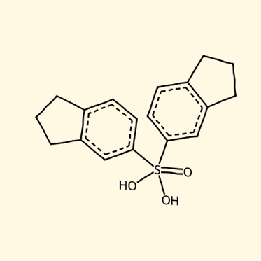 O=S(O)(O)(c1ccc2c(c1)CCC2)c1ccc2c(c1)CCC2